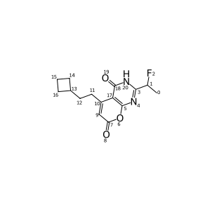 CC(F)c1nc2oc(=O)cc(CCC3CCC3)c2c(=O)[nH]1